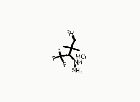 Cl.[2H]CC(C)(C)C(NN)C(F)(F)F